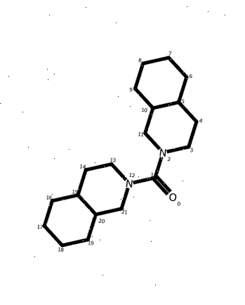 O=C(N1CCC2CCCCC2C1)N1CCC2CCCCC2C1